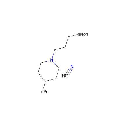 C#N.CCCCCCCCCCCCN1CCC(CCC)CC1